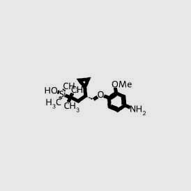 COc1cc(N)ccc1OC[C@H](CC(C)(C)[Si](C)(C)O)C1CC1